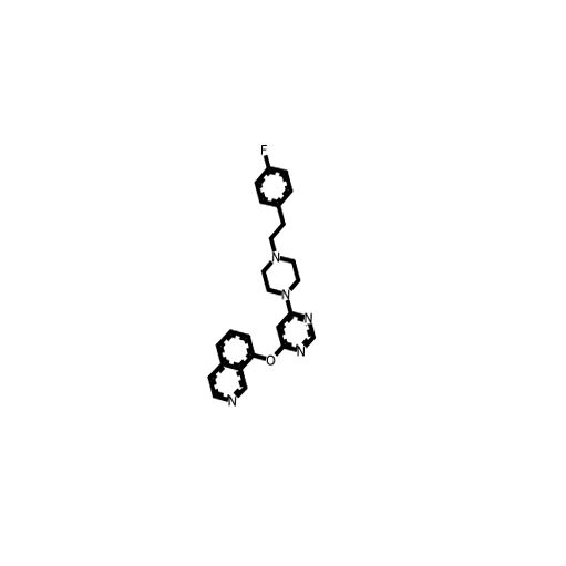 Fc1ccc(CCN2CCN(c3cc(Oc4cccc5ccncc45)ncn3)CC2)cc1